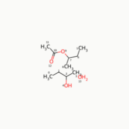 CCC(C)O.CCC(C)OC(C)=O.O